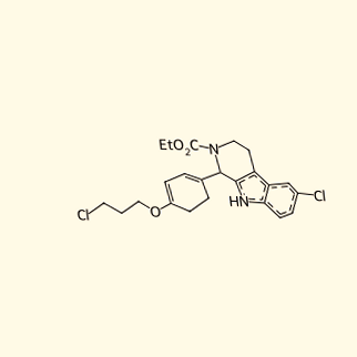 CCOC(=O)N1CCc2c([nH]c3ccc(Cl)cc23)C1C1=CC=C(OCCCCl)CC1